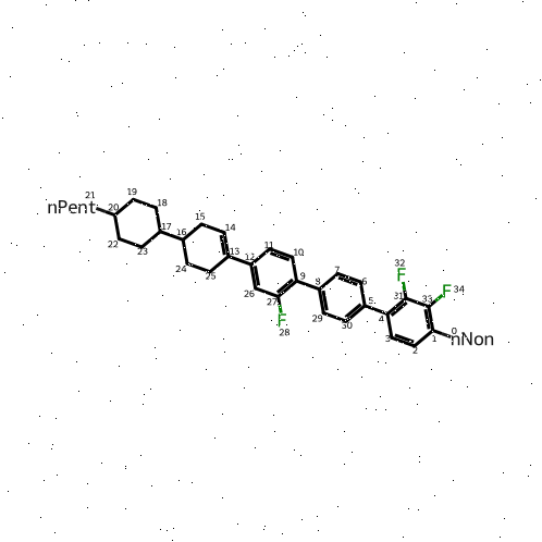 CCCCCCCCCc1ccc(-c2ccc(-c3ccc(C4=CCC(C5CCC(CCCCC)CC5)CC4)cc3F)cc2)c(F)c1F